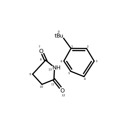 CC(C)(C)c1ccccc1.O=C1CCC(=O)N1